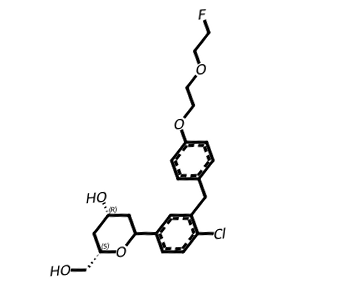 OC[C@@H]1C[C@H](O)CC(c2ccc(Cl)c(Cc3ccc(OCCOCCF)cc3)c2)O1